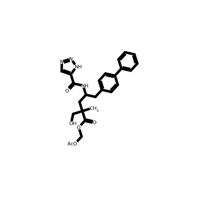 CC(=O)OCOC(=O)C(C)(CO)CC(Cc1ccc(-c2ccccc2)cc1)NC(=O)c1cnn[nH]1